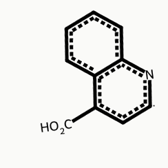 O=C(O)c1c[c]nc2ccccc12